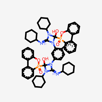 Cc1ccc(N2/C(=N\C3CCCCC3)N(C3CCCCC3)C2(O)P2(=O)Oc3ccccc3-c3ccccc32)cc1N1/C(=N/C2CCCCC2)N(C2CCCCC2)C1(O)P1(=O)Oc2ccccc2-c2ccccc21